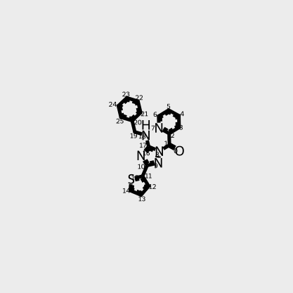 O=C(c1ccccn1)n1nc(-c2cccs2)nc1NCc1ccccc1